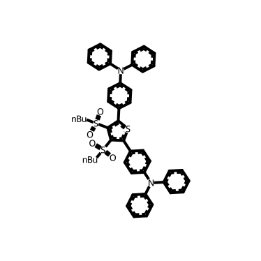 CCCCS(=O)(=O)c1c(-c2ccc(N(c3ccccc3)c3ccccc3)cc2)sc(-c2ccc(N(c3ccccc3)c3ccccc3)cc2)c1S(=O)(=O)CCCC